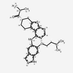 CN(C)CCOc1cc2[nH]ncc2cc1Nc1ncnc2sc3c(c12)CC[C@H](C(=O)N(C)C)C3